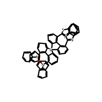 c1ccc(N(c2ccccc2)c2cccc3c2-c2c(N(c4ccccc4)c4ccccc4)cccc2[Si]32c3cccc(-c4nc5ccccc5s4)c3-c3c(-c4nc5ccccc5s4)cccc32)cc1